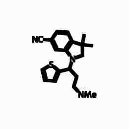 CNCCC(c1cccs1)N1CC(C)(C)c2ccc(C#N)cc21